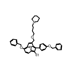 CCc1c(-c2ccc(OCc3ccccc3)cc2)c2c(COCCCCN3CCCCC3)cc3c(OCc4ccccc4)ccc1n32